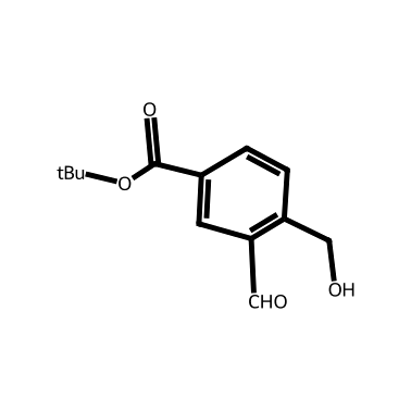 CC(C)(C)OC(=O)c1ccc(CO)c(C=O)c1